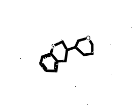 c1ccc2c(c1)CC(C1CCCOC1)CS2